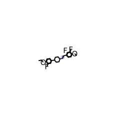 CCOc1ccc(C2CCC(/C=C/c3ccc(OC)c(F)c3F)CC2)cc1F